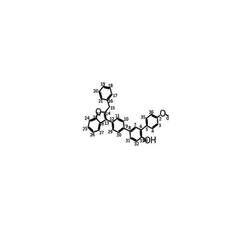 COc1ccc(-c2cc(-c3ccc(-c4c(Cc5ccccc5)oc5ccccc45)cc3)ccc2O)cc1